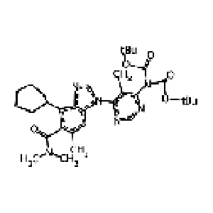 Cc1cc2c(ncn2-c2ncnc(N(C(=O)OC(C)(C)C)C(=O)OC(C)(C)C)c2C)c(C2CCCCC2)c1C(=O)N(C)C